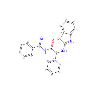 N=C(NC(=O)C(Nc1nc2ccccc2s1)c1ccccc1)c1ccccc1